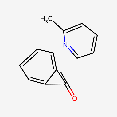 Cc1ccccn1.O=c1c2ccccc12